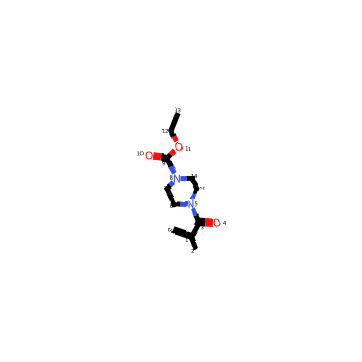 C=C(C)C(=O)N1CCN(C(=O)OCC)CC1